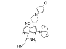 C[C@@H]1COCCN1c1cc(C2(C#N)CCN(c3ccc(Cl)cc3)CC2)c2ccnc(/C(N)=C/C=N)c2n1